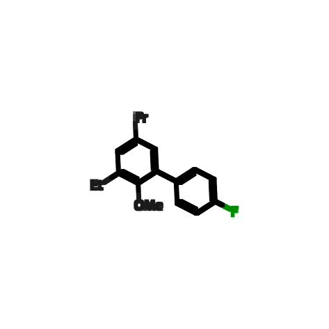 CCc1cc(C(C)C)cc(-c2ccc(F)cc2)c1OC